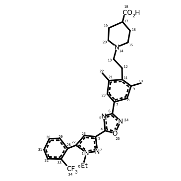 CCn1nc(-c2nc(-c3cc(C)c(CCN4CCC(C(=O)O)CC4)c(C)c3)no2)cc1-c1ccccc1C(F)(F)F